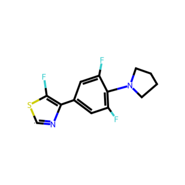 Fc1cc(-c2n[c]sc2F)cc(F)c1N1CCCC1